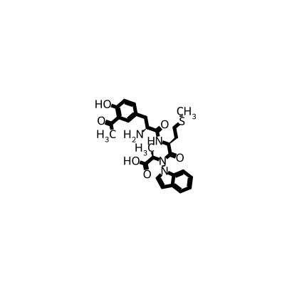 CSCC[C@H](NC(=O)[C@H](N)Cc1ccc(O)c(C(C)=O)c1)C(=O)N([C@H](C)C(=O)O)n1ccc2ccccc21